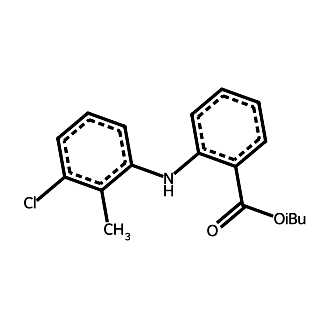 Cc1c(Cl)cccc1Nc1ccccc1C(=O)OCC(C)C